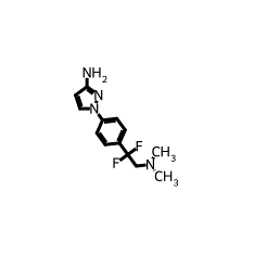 CN(C)CC(F)(F)c1ccc(-n2ccc(N)n2)cc1